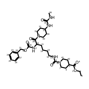 CCOC(=O)C1CCN(C(=O)NCCCCC(NC(=O)OCc2ccccc2)C(=O)N2CCC(NC(=O)NC)CC2)CC1